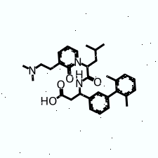 Cc1cccc(C)c1-c1cccc(C(CC(=O)O)NC(=O)C(CC(C)C)n2cccc(CCN(C)C)c2=O)c1